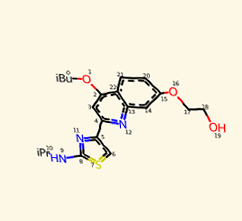 CCC(C)Oc1cc(-c2csc(NC(C)C)n2)nc2cc(OCCO)ccc12